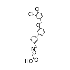 O=C(O)CON=Cc1cccc(-c2cccc(OCc3ccc(Cl)c(Cl)c3)c2)c1